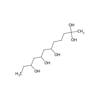 CCC(O)CC(O)CC(O)CCCC(C)(O)O